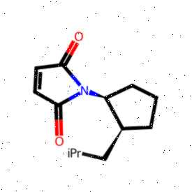 CC(C)C[C@@H]1CCC[C@@H]1N1C(=O)C=CC1=O